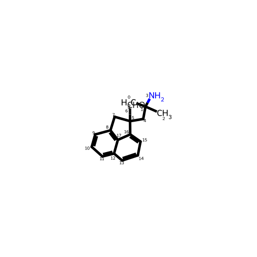 CC(C)(N)CC1(C=O)Cc2cccc3cccc1c23